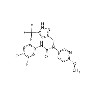 COc1ccc(N(Cc2cc(C(F)(F)F)[nH]n2)C(=O)Nc2ccc(F)c(F)c2)cn1